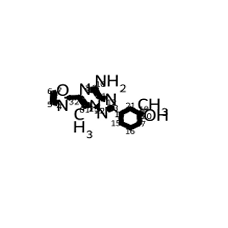 Cc1c(-c2ncco2)nc(N)c2nc([C@H]3CCC[C@](C)(O)C3)nn12